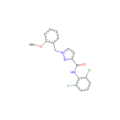 CCCCOc1ccccc1Cn1ccc(C(=O)Nc2c(F)cccc2Cl)n1